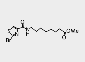 COC(=O)CCCCCCCNC(=O)c1csc(Br)n1